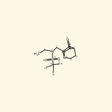 CCN(CC1C(=O)C2CCN1CC2)S(=O)(=O)C(F)(F)F